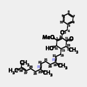 COC1=C(OCc2ccccc2)C(=O)C(C)C(C/C=C(\C)CC/C=C(\C)CCC=C(C)C)C1O